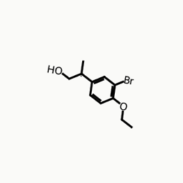 CCOc1ccc([C](C)CO)cc1Br